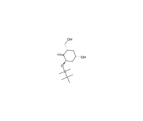 C=C1[C@H](CO)C[C@H](O)C[C@H]1O[Si](C)(C)C(C)(C)C